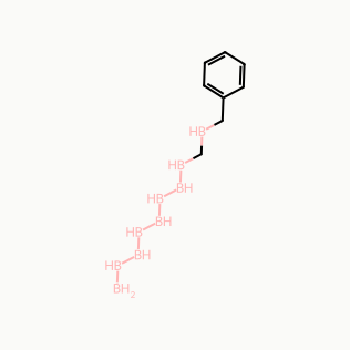 BBBBBBBBCBCc1ccccc1